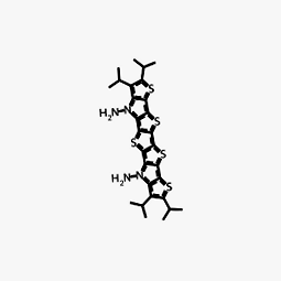 CC(C)c1sc2c3sc4c5sc6c7sc(C(C)C)c(C(C)C)c7n(N)c6c5sc4c3n(N)c2c1C(C)C